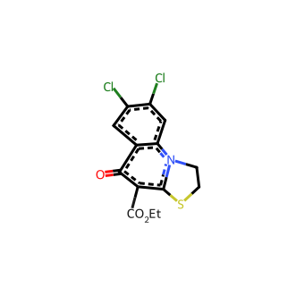 CCOC(=O)c1c2n(c3cc(Cl)c(Cl)cc3c1=O)CCS2